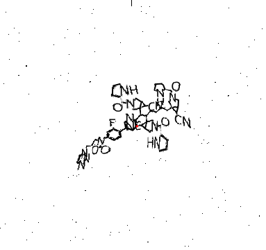 N#CC1C2CN(C(=O)[C@@H]3CCCN3)CC12CCCCC(C(c1ccc(-c2ccc(N3C[C@H](Cn4ccnn4)OC3=O)cc2F)cn1)C12CN(C(=O)[C@@H]3CCCN3)CC1C2C#N)C12CN(C(=O)[C@@H]3CCCN3)CC1C2C#N